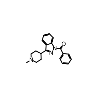 CN1CCC(c2nn(C(=O)c3ccccc3)c3ccccc23)CC1